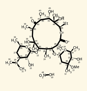 CC[C@H]1OC(=O)[C@H](C)[C@@H](O[C@H]2C[C@@](C)(OC)[C@@H](O)[C@H](C)O2)[C@@H](C)[C@@H](O[C@@H]2O[C@H](C)C[C@H](N(C)C)[C@H]2O)[C@](C)(O)C[C@@H](C)C(=O)[C@H](C)[C@H](O)[C@]1(C)O.O=[N+]([O-])O